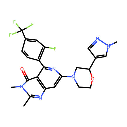 Cc1nc2cc(N3CCOC(c4cnn(C)c4)C3)nc(-c3ccc(C(F)(F)F)cc3F)c2c(=O)n1C